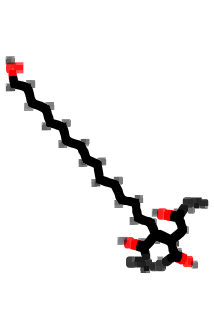 COC(=O)CC(C(=O)OC)=C(CCCCCCCCCCCCCCCCO)C(=O)OC